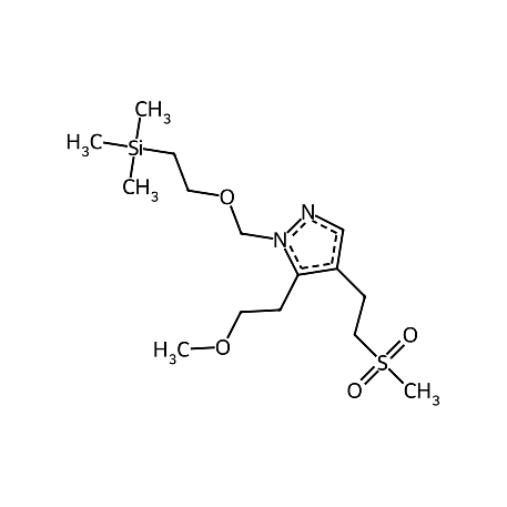 COCCc1c(CCS(C)(=O)=O)cnn1COCC[Si](C)(C)C